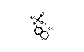 CN1CCOc2ccc(NC(C)(C)C#N)cc21